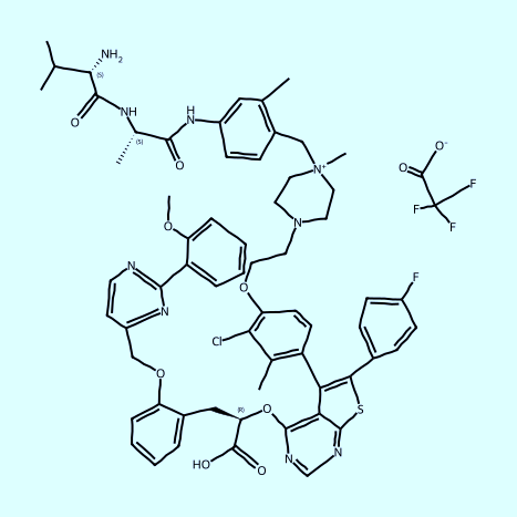 COc1ccccc1-c1nccc(COc2ccccc2C[C@@H](Oc2ncnc3sc(-c4ccc(F)cc4)c(-c4ccc(OCCN5CC[N+](C)(Cc6ccc(NC(=O)[C@H](C)NC(=O)[C@@H](N)C(C)C)cc6C)CC5)c(Cl)c4C)c23)C(=O)O)n1.O=C([O-])C(F)(F)F